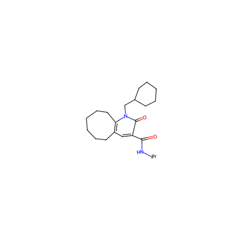 CC(C)NC(=O)c1cc2c(n(CC3CCCCC3)c1=O)CCCCCC2